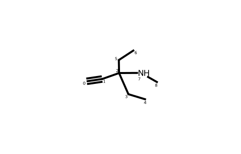 C#CC(CC)(CC)NC